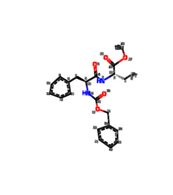 CC(C)C[C@H](NC(=O)[C@H](Cc1ccccc1)NC(=O)OCc1ccccc1)C(=O)OC(C)(C)C